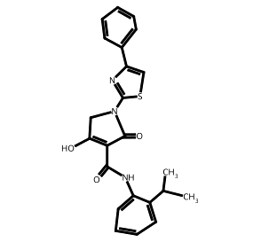 CC(C)c1ccccc1NC(=O)C1=C(O)CN(c2nc(-c3ccccc3)cs2)C1=O